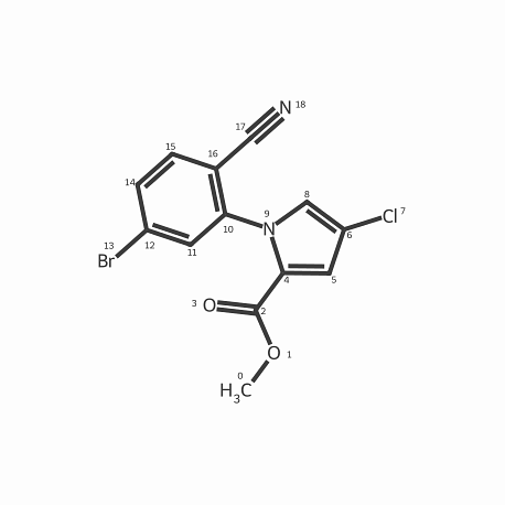 COC(=O)c1cc(Cl)cn1-c1cc(Br)ccc1C#N